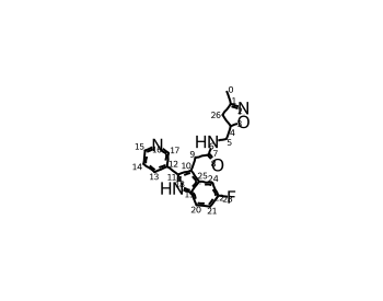 CC1=NOC(CNC(=O)Cc2c(-c3cccnc3)[nH]c3ccc(F)cc23)C1